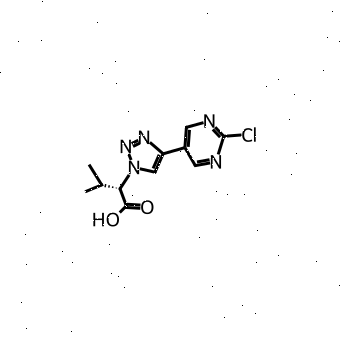 CC(C)[C@@H](C(=O)O)n1cc(-c2cnc(Cl)nc2)nn1